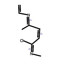 C=C/N=C(C)/C=C\C(Cl)=N/C